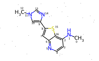 CNc1ccnc2cc(-c3cn(C)cn3)sc12